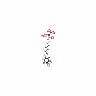 O=C(CCCCCCCCCc1ccc(Cl)c(Cl)c1)C1=C(O)COC1=O